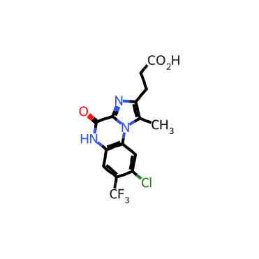 Cc1c(CCC(=O)O)nc2c(=O)[nH]c3cc(C(F)(F)F)c(Cl)cc3n12